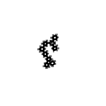 c1ccc(-c2nc(-c3ccccc3)nc(-c3cccc(-c4cccc(-c5ccc(-c6ccc7c(c6)-c6ccccc6C76CCCCC6)cc5)c4)c3)n2)cc1